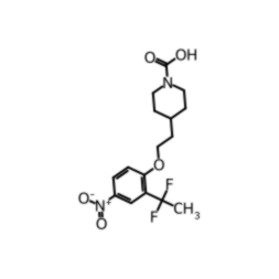 CC(F)(F)c1cc([N+](=O)[O-])ccc1OCCC1CCN(C(=O)O)CC1